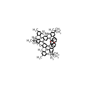 Cc1cc(C)c(N2c3cc4c(cc3B3c5cc6c(cc5Oc5cc(C(C)(C)C)cc2c53)N(c2c(C)cc(C)cc2C)c2cc(C(C)(C)C)cc3c2B6c2sc5ccccc5c2O3)B2c3sc5ccccc5c3Oc3cc(C(C)(C)C)cc(c32)N4)c(C)c1